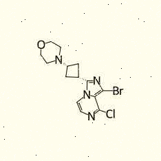 Clc1nccn2c1c(Br)nc2[C@H]1C[C@@H](N2CCOCC2)C1